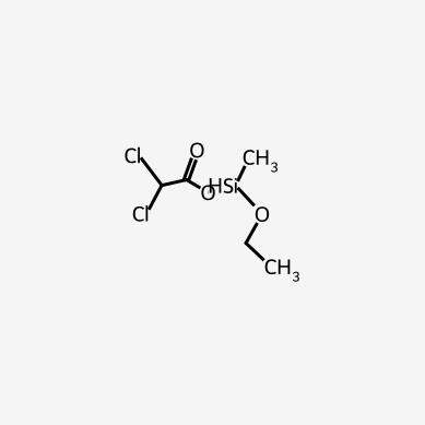 CCO[SiH](C)OC(=O)C(Cl)Cl